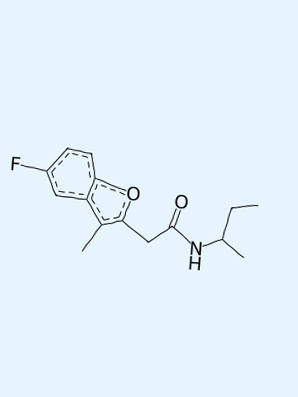 CCC(C)NC(=O)Cc1oc2ccc(F)cc2c1C